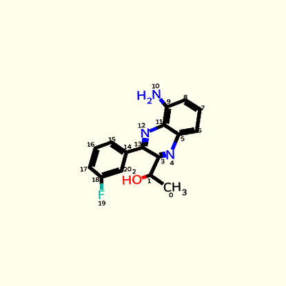 CC(O)c1nc2cccc(N)c2nc1-c1cccc(F)c1